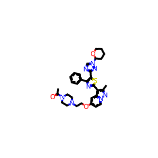 CC(=O)N1CCN(CCOc2ccn3nc(C)c(-c4nc(-c5ccccc5)c(-c5ncn(C6CCCCO6)n5)s4)c3c2)CC1